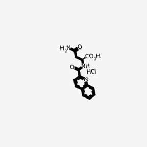 Cl.NC(=O)C[C@H](NC(=O)c1ccc2ccccc2n1)C(=O)O